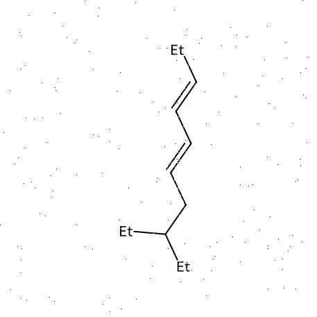 CCC=CC=CCC(CC)CC